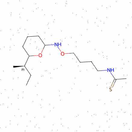 CC[C@@H](C)C1CCCC(NOCCCCNC(C)=S)O1